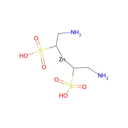 NC[CH]([Zn][CH](CN)S(=O)(=O)O)S(=O)(=O)O